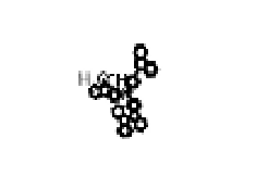 CC1(C)c2ccccc2-c2ccc(N(c3ccc(-c4cc5ccccc5c5ccccc45)cc3)c3ccc4c(c3)C3(c5ccccc5-c5ccccc53)c3ccccc3-4)cc21